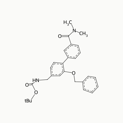 CN(C)C(=O)c1cccc(-c2ccc(CNC(=O)OC(C)(C)C)cc2OCc2ccccc2)c1